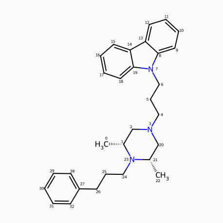 C[C@@H]1CN(CCCn2c3ccccc3c3ccccc32)C[C@H](C)N1CCCc1ccccc1